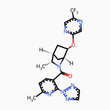 Cc1ccc(C(=O)N2[C@H](C)[C@H]3C[C@@H](Oc4cnc(C(F)(F)F)cn4)[C@@H]2C3)c(-n2nccn2)n1